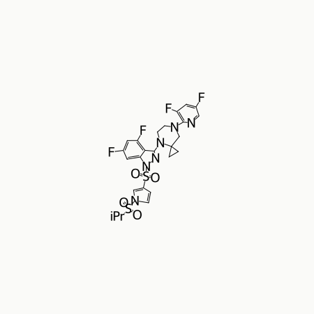 CC(C)S(=O)(=O)n1ccc(S(=O)(=O)n2nc(N3CCN(c4ncc(F)cc4F)CC34CC4)c3c(F)cc(F)cc32)c1